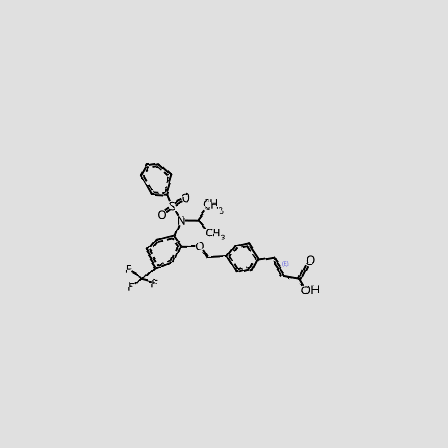 CC(C)N(c1ccc(C(F)(F)F)cc1OCc1ccc(/C=C/C(=O)O)cc1)S(=O)(=O)c1ccccc1